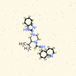 CC(C)C1CN(c2nc3ccccc3[nH]2)CCN1C(=S)Nc1cccc2ncccc12